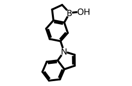 OB1CCc2ccc(-n3ccc4ccccc43)cc21